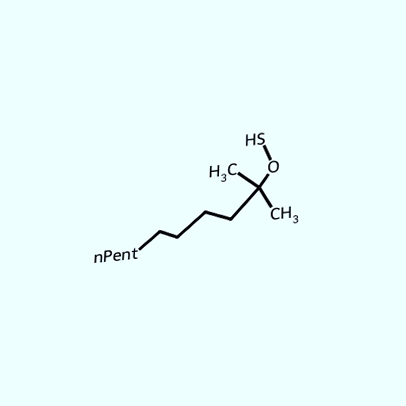 CCCCCCCCCC(C)(C)OS